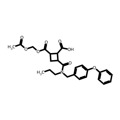 CCCN(Cc1ccc(Oc2ccccc2)cc1)C(=O)C1CC(C(=O)OCOC(C)=O)C1C(=O)O